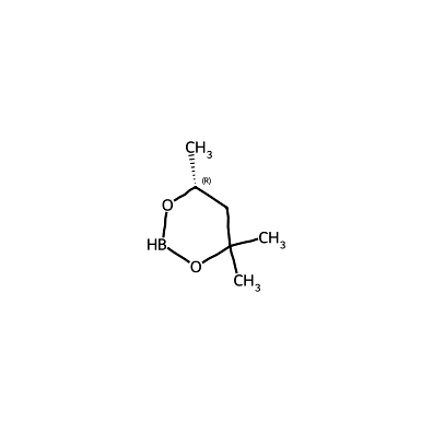 C[C@@H]1CC(C)(C)OBO1